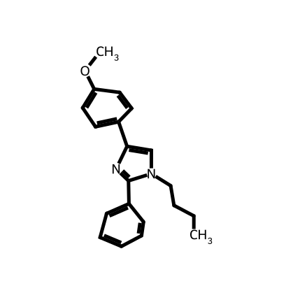 CCCCn1cc(-c2ccc(OC)cc2)nc1-c1ccccc1